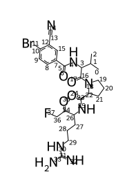 CC(C)C(NC(=O)c1ccc(Br)c(C#N)c1)C(=O)N1CCC[C@H]1C(=O)NC(CCCNC(=N)N)C(=O)CF